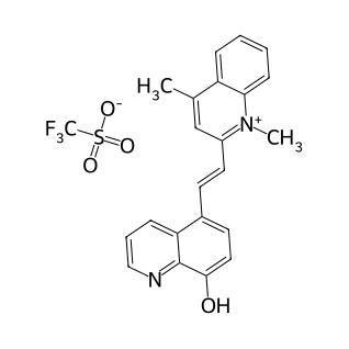 Cc1cc(C=Cc2ccc(O)c3ncccc23)[n+](C)c2ccccc12.O=S(=O)([O-])C(F)(F)F